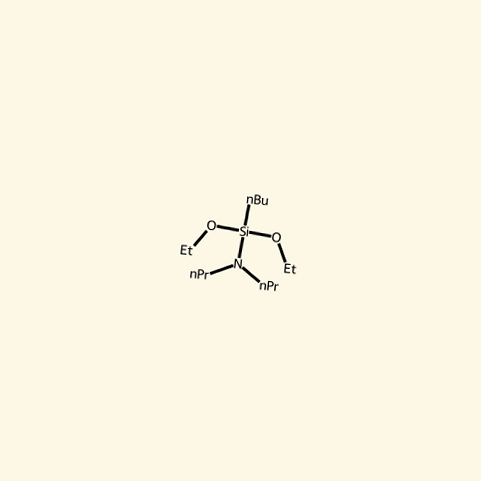 CCCC[Si](OCC)(OCC)N(CCC)CCC